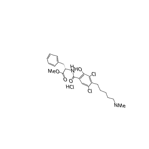 CNCCCCCc1c(Cl)cc(C(=O)N[C@@H](Cc2ccccc2)C(=O)OC)c(O)c1Cl.Cl